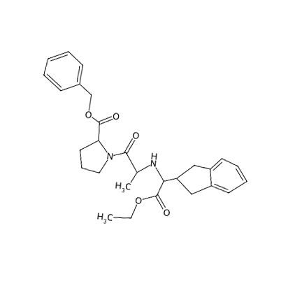 CCOC(=O)C(NC(C)C(=O)N1CCCC1C(=O)OCc1ccccc1)C1Cc2ccccc2C1